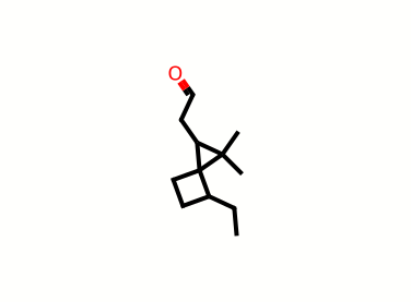 CCC1CCC12C(CC=O)C2(C)C